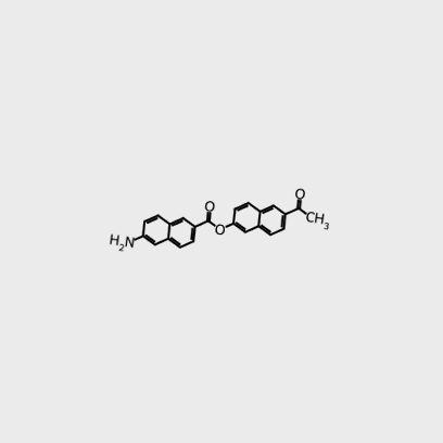 CC(=O)c1ccc2cc(OC(=O)c3ccc4cc(N)ccc4c3)ccc2c1